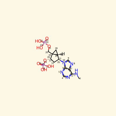 CNc1ncnc2c1ncn2[C@H]1C[C@H](OP(=O)(O)O)C2(COP(=O)(O)O)C[C@H]12